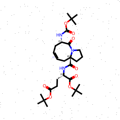 CC(C)(C)OC(=O)CC[C@H](NC(=O)[C@@]12C/C=C\C[C@H](NC(=O)OC(C)(C)C)C(=O)N1CCC2)C(=O)OC(C)(C)C